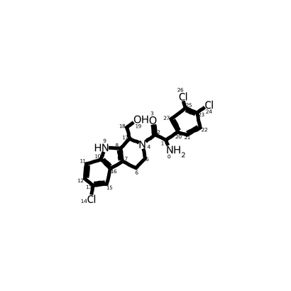 NC(C(=O)N1CCc2c([nH]c3ccc(Cl)cc23)C1CO)c1ccc(Cl)c(Cl)c1